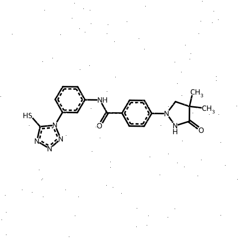 CC1(C)CN(c2ccc(C(=O)Nc3cccc(-n4nnnc4S)c3)cc2)NC1=O